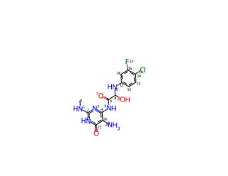 CNc1nc(NC(=O)C(O)Nc2ccc(Cl)c(F)c2)c(N)c(=O)[nH]1